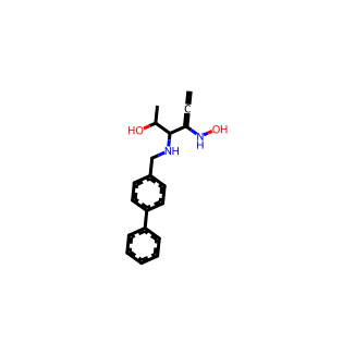 C=C=C(NO)C(NCc1ccc(-c2ccccc2)cc1)C(C)O